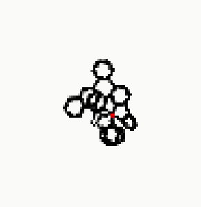 c1ccc2c(c1)Oc1ccccc1C21c2ccccc2-c2ccc(-c3ccccc3-c3cc(-c4nc5ccccc5s4)c4ccccc4c3)cc21